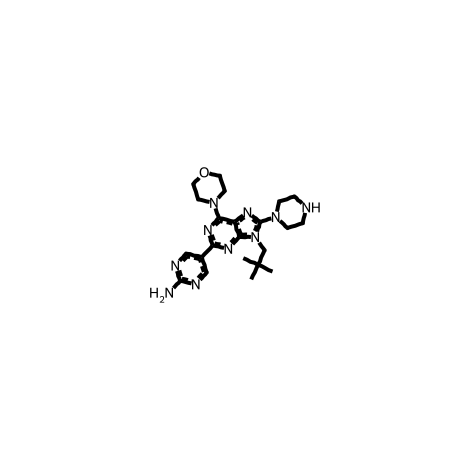 CC(C)(C)Cn1c(N2CCNCC2)nc2c(N3CCOCC3)nc(-c3cnc(N)nc3)nc21